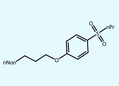 CC[CH]S(=O)(=O)c1ccc(OCCCCCCCCCCCC)cc1